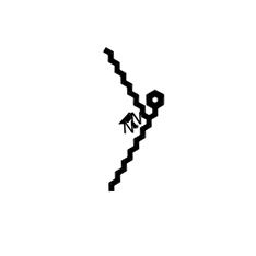 CCCCCCCCCCCCCC(Cc1ccccc1)C(CCCCCCCCCCCC)n1ccnc1